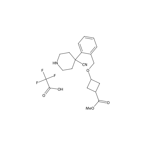 COC(=O)C1CC(OCc2ccccc2C2(C#N)CCNCC2)C1.O=C(O)C(F)(F)F